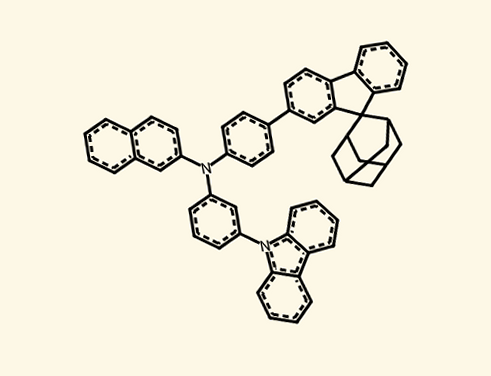 c1cc(N(c2ccc(-c3ccc4c(c3)C3(c5ccccc5-4)C4CC5CC(C4)CC3C5)cc2)c2ccc3ccccc3c2)cc(-n2c3ccccc3c3ccccc32)c1